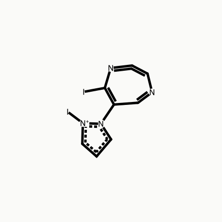 IC1=C(n2ccc[n+]2I)C=NC=C=N1